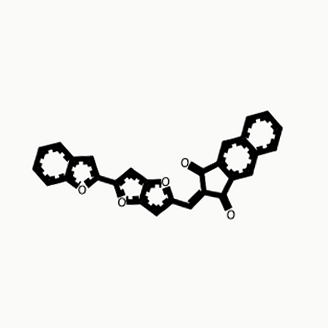 O=C1C(=Cc2cc3oc(-c4cc5ccccc5o4)cc3o2)C(=O)c2cc3ccccc3cc21